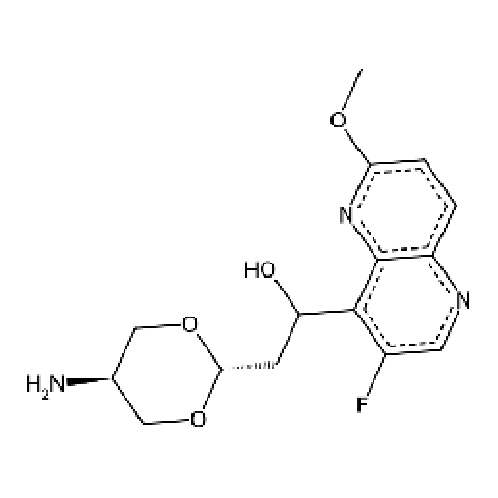 COc1ccc2ncc(F)c(C(O)C[C@H]3OC[C@H](N)CO3)c2n1